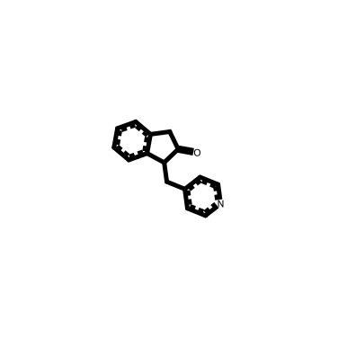 O=C1Cc2ccccc2C1Cc1ccncc1